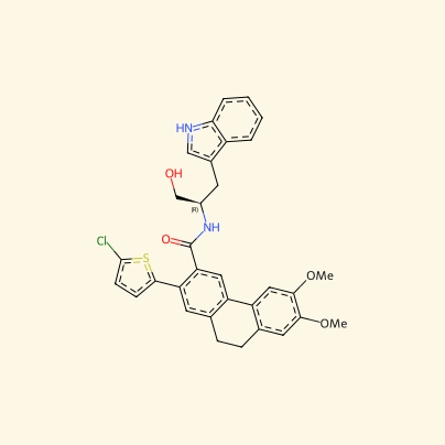 COc1cc2c(cc1OC)-c1cc(C(=O)N[C@@H](CO)Cc3c[nH]c4ccccc34)c(-c3ccc(Cl)s3)cc1CC2